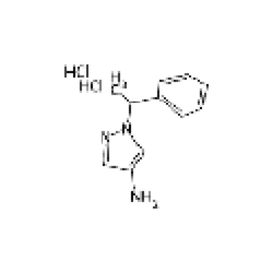 CC(c1ccccc1)n1cc(N)cn1.Cl.Cl